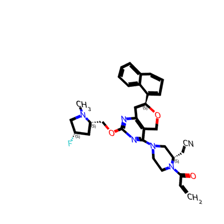 C=CC(=O)N1CCN(c2nc(OC[C@@H]3C[C@H](F)CN3C)nc3c2CO[C@H](c2cccc4ccccc24)C3)C[C@@H]1CC#N